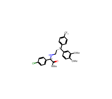 CNC(=O)[C@H](NCC[C@H](c1ccc(C(F)(F)F)cc1)c1ccc(OC)c(OC)c1)c1ccc(Cl)cc1